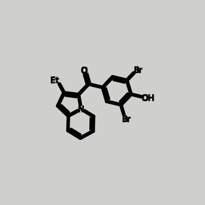 CCc1cc2ccccn2c1C(=O)c1cc(Br)c(O)c(Br)c1